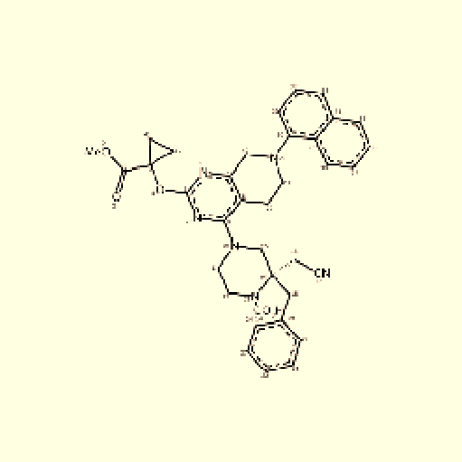 COC(=O)C1(Oc2nc3c(c(N4CCN(C(=O)O)[C@](CC#N)(Cc5ccccc5)C4)n2)CCN(c2cccc4ccccc24)C3)CC1